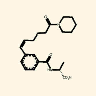 C[C@@H](NC(=O)c1cccc(/C=C\CCCC(=O)N2CCCCC2)c1)C(=O)O